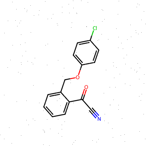 N#CC(=O)c1ccccc1COc1ccc(Cl)cc1